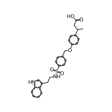 CC(CC(=O)O)c1ccc(OCc2ccc(S(=O)(=O)NCCc3c[nH]c4ccccc34)cc2)cc1